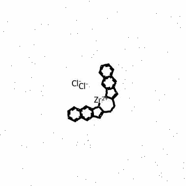 C1=C2CCC3=Cc4cc5ccccc5cc4[CH]3[Zr+2][CH]2c2cc3ccccc3cc21.[Cl-].[Cl-]